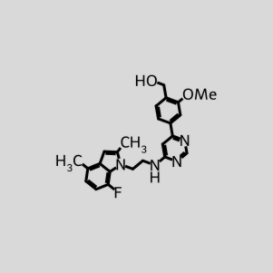 COc1cc(-c2cc(NCCn3c(C)cc4c(C)ccc(F)c43)ncn2)ccc1CO